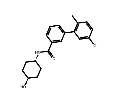 Cc1ccc(Cl)cc1-c1cccc(C(=O)N[C@H]2CC[C@H](O)CC2)c1